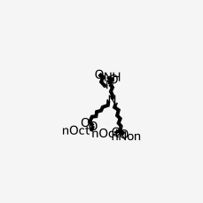 CCCCCCCCCOC(=O)CCCCCCCN(CCCCCCCC(=O)OC(CCCCCCCC)CCCCCCCC)CCCN1CCC(=O)NC1=O